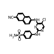 N#Cc1ccc2cc(Nc3nc(Nc4ccc(S(N)(=O)=O)cc4)ncc3Cl)ccc2c1